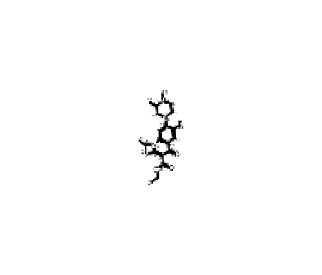 CCOC(=O)c1c2n(c3cc(N4CCN(C)C(C)C4)c(F)cc3c1=O)C(C)S2